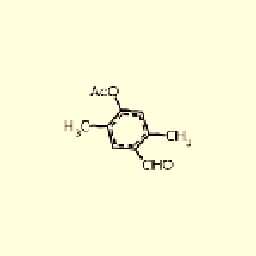 [CH2]C(=O)Oc1cc(C)c(C=O)cc1C